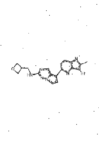 CCn1c(C)nc2ccc(-c3ccn4nc(NCC5COC5)ncc34)nc21